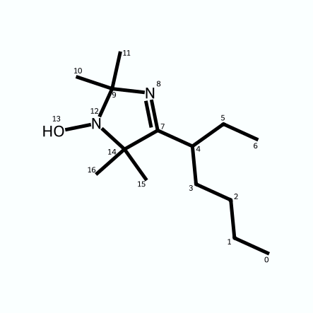 CCCCC(CC)C1=NC(C)(C)N(O)C1(C)C